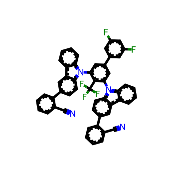 N#Cc1ccccc1-c1ccc2c(c1)c1ccccc1n2-c1cc(-c2cc(F)cc(F)c2)cc(-n2c3ccccc3c3cc(-c4ccccc4C#N)ccc32)c1C(F)(F)F